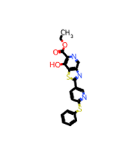 CCOC(=O)c1ncc2nc(-c3ccc(Sc4ccccc4)nc3)sc2c1O